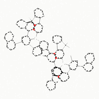 Cc1cc(-c2cccc3ccccc23)cc(-c2cccc3ccc(-c4ccc5c(c4)oc4cc(N(c6ccc7c(c6)C(C)(C)c6ccccc6-7)c6c(-c7ccccc7)cc(-c7cccc8ccccc78)cc6-c6cccc7ccccc67)ccc45)cc23)c1N(c1ccc2c(c1)C(C)(C)c1ccccc1-2)c1ccc2c(c1)oc1ccccc12